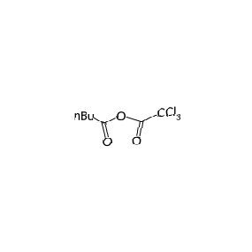 [CH2]CCCC(=O)OC(=O)C(Cl)(Cl)Cl